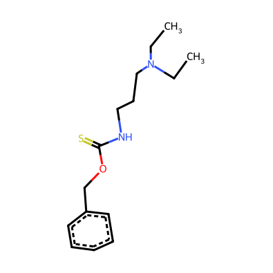 CCN(CC)CCCNC(=S)OCc1ccccc1